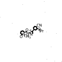 CC(C)Oc1cc(-c2cnc(NC(=O)c3cccc(=O)n3C)s2)ccc1C#N